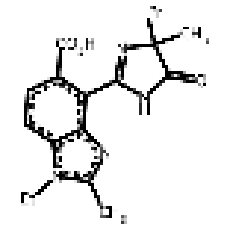 CCn1c(C)nc2c(C3=NC(C)(C(C)C)C(=O)N3)c(C(=O)O)ccc21